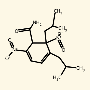 CC(C)CC1=CC=C([N+](=O)[O-])C(C(N)=O)C1(CC(C)C)[N+](=O)[O-]